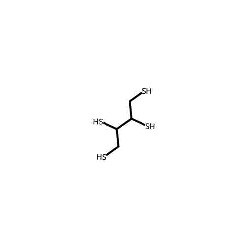 SCC(S)C(S)CS